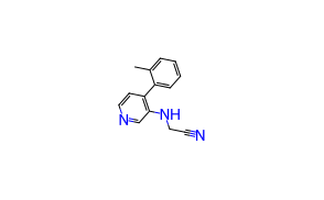 Cc1ccccc1-c1ccncc1NCC#N